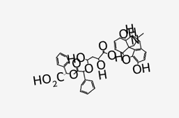 CN1CCC23c4c5ccc(O)c4O[C@H]2C(OC(=O)[C@@H](O)CC(O)O[C@H](C(=O)O[C@H](C(=O)O)c2ccccc2)c2ccccc2)=CC[C@@]3(O)[C@H]1C5